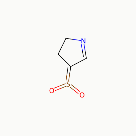 O=S(=O)=C1C=NCC1